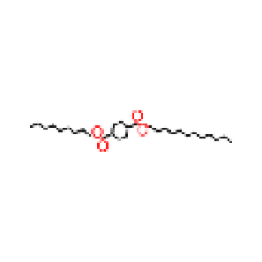 CCCCCCCCCCCCOC(=O)C1CCC(C(=O)OCCCCCCCCC)CC1